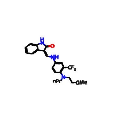 CCCN(CCOC)c1ccc(NC=C2C(=O)Nc3ccccc32)cc1C(F)(F)F